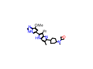 COc1cc(-c2[nH]c3cc(C)c(C4CCC(N(C)C5COC5)CC4)nc3c2C(C)C)cn2ncnc12